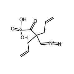 C=CCC(C=[N+]=[N-])(CC=C)C(=O)P(=O)(O)O